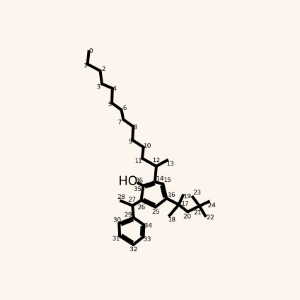 CCCCCCCCCCCCC(C)c1cc(C(C)(C)CC(C)(C)C)cc(C(C)c2ccccc2)c1O